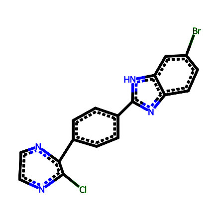 Clc1nccnc1-c1ccc(-c2nc3ccc(Br)cc3[nH]2)cc1